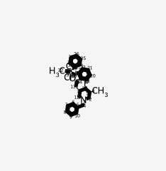 C[C@@H]1CN(Cc2ccccc2)C[C@H](CCO[Si](c2ccccc2)(c2ccccc2)C(C)(C)C)[C@H]1F